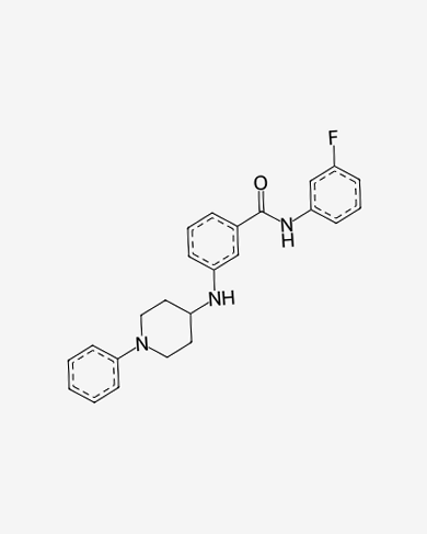 O=C(Nc1cccc(F)c1)c1cccc(NC2CCN(c3ccccc3)CC2)c1